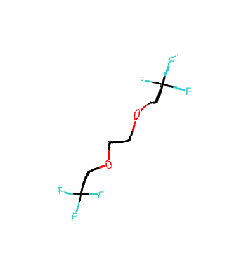 FC(F)(F)COCCOCC(F)(F)F